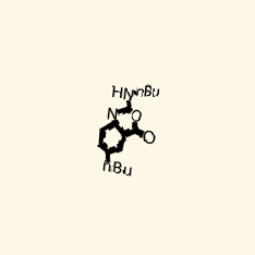 CCCCNc1nc2ccc(CCCC)cc2c(=O)o1